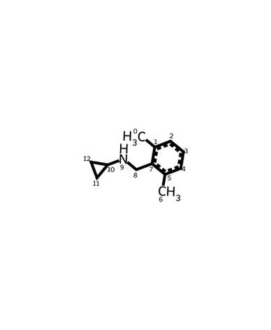 Cc1cccc(C)c1CNC1CC1